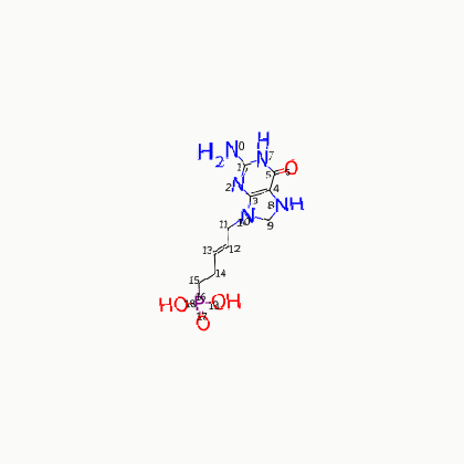 Nc1nc2c(c(=O)[nH]1)NCN2CC=CCCP(=O)(O)O